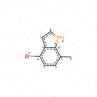 Cc1ccc(Br)c2cc[pH]c12